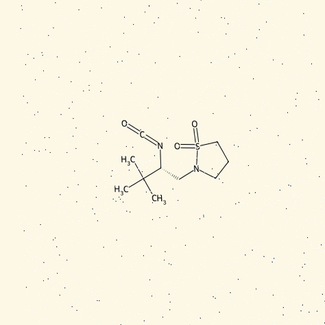 CC(C)(C)[C@@H](CN1CCCS1(=O)=O)N=C=O